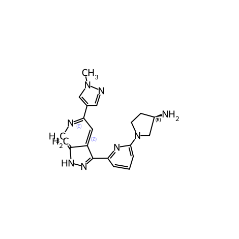 C=c1[nH]nc(-c2cccc(N3CC[C@@H](N)C3)n2)/c1=C/C(=N\C)c1cnn(C)c1